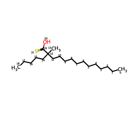 CCCCCCCCCCCCC(C)(CCCCC)C(O)=S